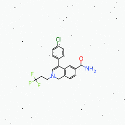 NC(=O)c1ccc2c(c1)C(c1ccc(Cl)cc1)=CN(CCC(F)(F)F)C2